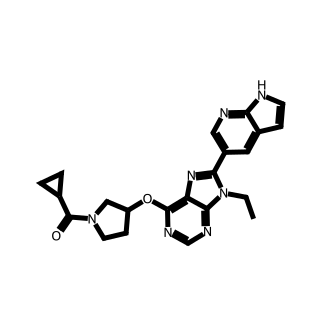 CCn1c(-c2cnc3[nH]ccc3c2)nc2c(OC3CCN(C(=O)C4CC4)C3)ncnc21